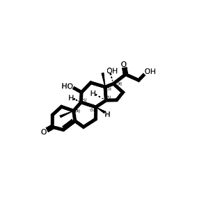 C[C@]12CCC(=O)C=C1CC[C@@H]1[C@@H]2C(O)C[C@@]2(C)[C@H]1CC[C@]2(O)C(=O)CO